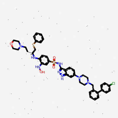 O=S(=O)(Nc1n[nH]c2cc(N3CCN(Cc4ccccc4-c4ccc(Cl)cc4)CC3)ccc12)c1ccc(N[C@H](CCN2CCOCC2)CSc2ccccc2)c(NO)c1